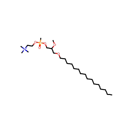 CCCCCCCCCCCCCCCCOCC(COP(C)(=O)OCC[N+](C)(C)C)OC